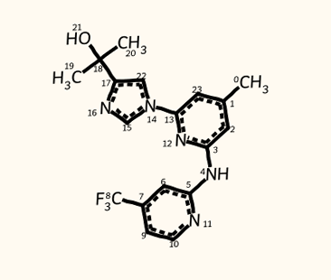 Cc1cc(Nc2cc(C(F)(F)F)ccn2)nc(-n2cnc(C(C)(C)O)c2)c1